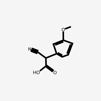 COc1cccc(C(C#N)C(=O)O)c1